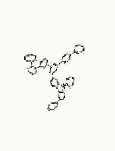 c1ccc(-c2ccc(-c3cc(-c4ccc5c6ccccc6c6ccccc6c5c4)cc(-c4ccc5c6cc(-c7ccccc7)ccc6n(-c6ccccc6)c5c4)c3)cc2)cc1